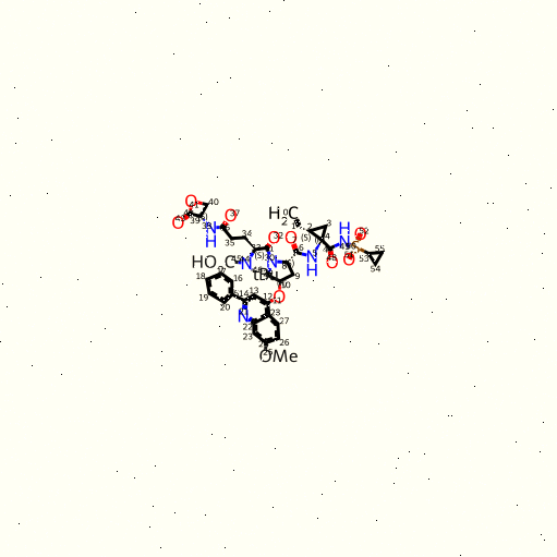 C=C[C@@H]1C[C@]1(NC(=O)[C@@H]1C[C@@H](Oc2cc(-c3ccccc3)nc3cc(OC)ccc23)CN1C(=O)[C@H](CCC(=O)N[C@H]1COC1=O)N(C(=O)O)C(C)(C)C)C(=O)NS(=O)(=O)C1CC1